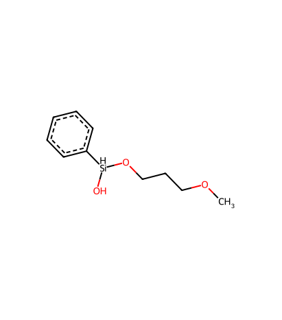 COCCCO[SiH](O)c1ccccc1